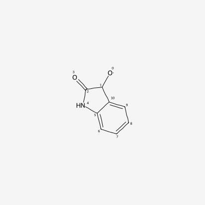 [O]C1C(=O)Nc2ccccc21